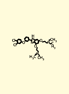 CCN(CC)CCCOc1cc(OCCCN(CC)CC)c2nc(-c3cccc(Oc4ccc(Cl)c(Cl)c4)c3)[nH]c2c1